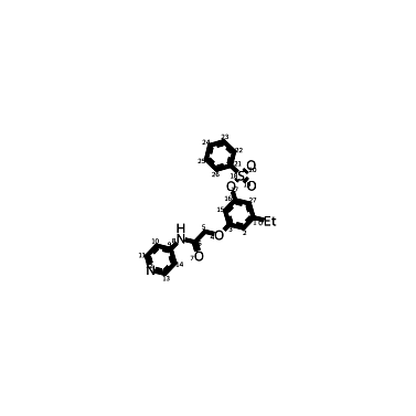 CCc1cc(OCC(=O)Nc2ccncc2)cc(OS(=O)(=O)c2ccccc2)c1